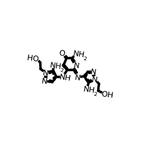 NC1=NC(=Nc2cnn(CCO)c2N)C(Nc2cnn(CCO)c2N)=CC1=O